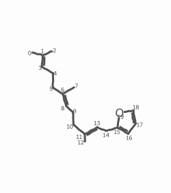 CC(C)=CCC/C(C)=C/CC/C(C)=C/Cc1ccco1